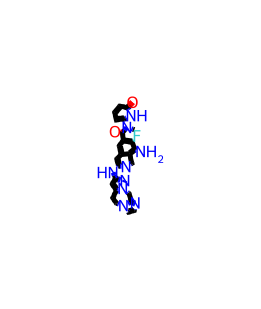 CN(C(=O)c1cc2cc(Nc3cc4n(n3)Cc3nccn3CC4)ncc2c(N)c1F)c1cccc(=O)[nH]1